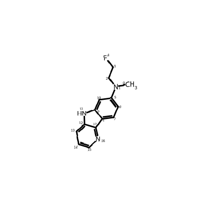 CN(CCF)c1ccc2c(c1)[nH]c1cccnc12